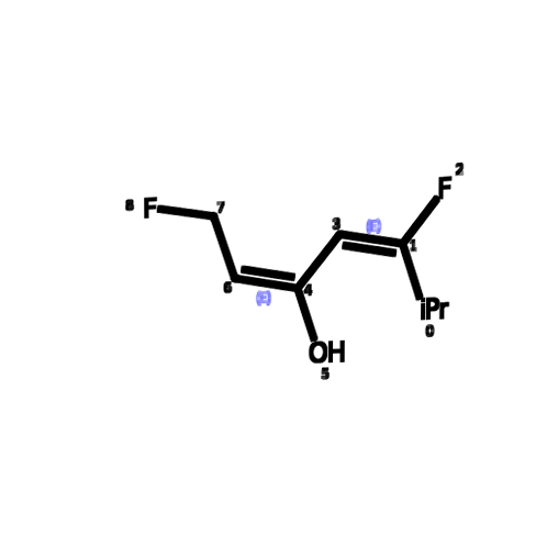 CC(C)/C(F)=C\C(O)=C/CF